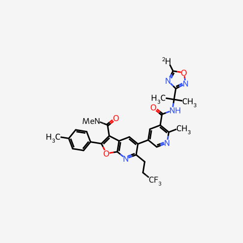 [2H]c1nc(C(C)(C)NC(=O)c2cc(-c3cc4c(C(=O)NC)c(-c5ccc(C)cc5)oc4nc3CCC(F)(F)F)cnc2C)no1